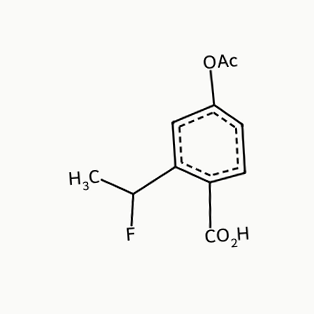 CC(=O)Oc1ccc(C(=O)O)c(C(C)F)c1